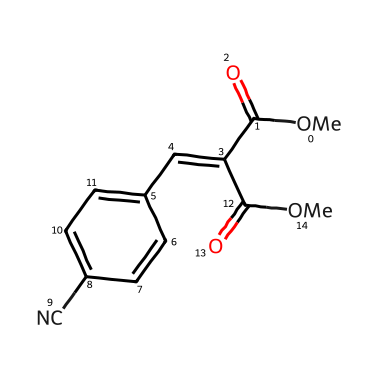 COC(=O)C(=Cc1ccc(C#N)cc1)C(=O)OC